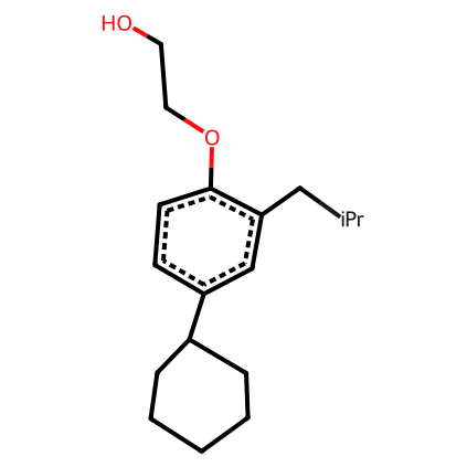 CC(C)Cc1cc(C2CCCCC2)ccc1OCCO